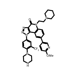 COc1ccc(-c2ccc3c(c2)c2c(nnn2-c2ccc(N4CCNCC4)c(C(F)(F)F)c2)c(=O)n3CCN2CCCCC2)cn1